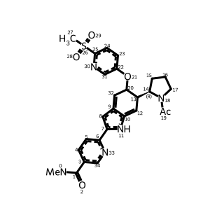 CNC(=O)c1ccc(-c2cc3c([nH]2)=CC([C@H]2CCCN2C(C)=O)C(Oc2ccc(S(C)(=O)=O)nc2)C=3)nc1